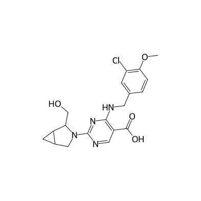 COc1ccc(CNc2nc(N3CC4CC4C3CO)ncc2C(=O)O)cc1Cl